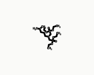 CCOP(=O)(CN(CCCN(C)C)CP(=O)(OCC)OCI)OCC